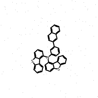 c1cc(-c2ccc3ccccc3c2)cc(N(c2cccc3sc4ccccc4c23)c2cccc3sc4ccccc4c23)c1